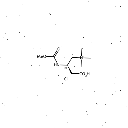 COC(=O)N[C@H](CC(=O)O)C[N+](C)(C)C.[Cl-]